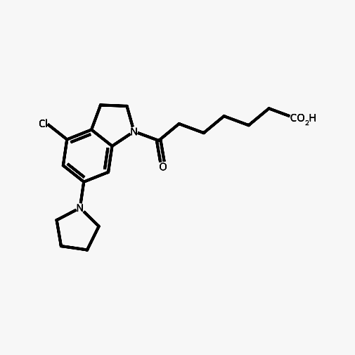 O=C(O)CCCCCC(=O)N1CCc2c(Cl)cc(N3CCCC3)cc21